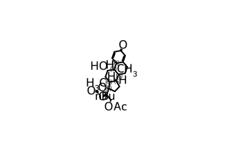 CCCCC(=O)O[C@]1(C(=O)COC(C)=O)CC[C@H]2[C@@H]3CCC4=CC(=O)C=C[C@]4(C)[C@H]3C(O)C[C@@]21C